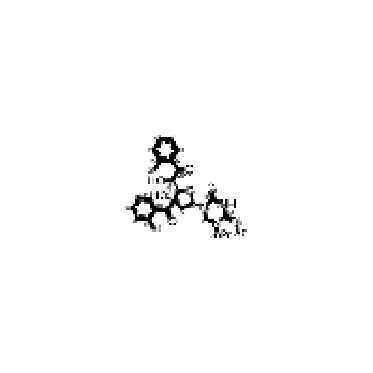 CCCN1CN([C@H]2C[C@@](O)(C(=O)c3ccccc3C)[C@@H](C(O)C(=O)c3ccccc3C)O2)C(=O)NC1=NC(C)=O